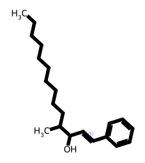 CCCCCCCCCCC(C)C(O)/C=C/c1ccccc1